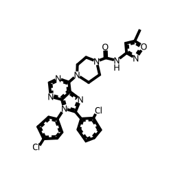 Cc1cc(NC(=O)N2CCN(c3ncnc4c3nc(-c3ccccc3Cl)n4-c3ccc(Cl)cc3)CC2)no1